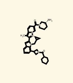 Cc1c(-c2cc3cccc(C4CN(C(=O)C5CCCCC5)C4)c3n2CC2CC2)nn2cc(C(=O)N3CCC[C@@H](N)C3)ccc12